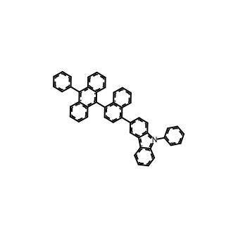 c1ccc(-c2c3ccccc3c(-c3ccc(-c4ccc5c(c4)c4ccccc4n5-c4ccccc4)c4ccccc34)c3ccccc23)cc1